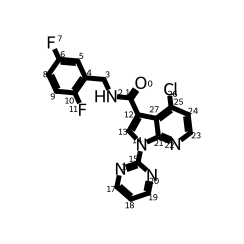 O=C(NCc1cc(F)ccc1F)c1cn(-c2ncccn2)c2nccc(Cl)c12